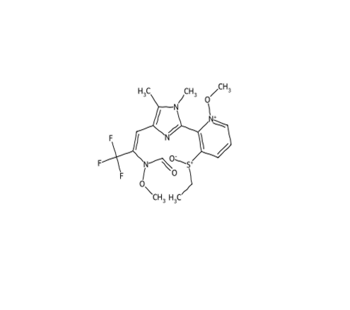 CC[S+]([O-])c1ccc[n+](OC)c1-c1nc(/C=C(\N(C=O)OC)C(F)(F)F)c(C)n1C